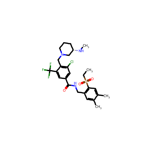 CCS(=O)(=O)c1cc(C)c(C)cc1CNC(=O)c1cc(Cl)c(CN2CCC[C@H](NC)C2)c(C(F)(F)F)c1